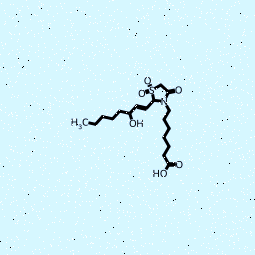 CCCCCC(O)C=CC1N(CCCCCCC(=O)O)C(=O)CS1(=O)=O